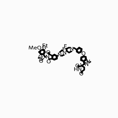 CCOc1cc([C@@H](CS(C)(=O)=O)N2C(=O)c3ccc(N4CCN([C@@H]5CCN(Cc6ccc(Oc7ccc8c([C@]9(C)CCC(=O)NC9=O)nn(C)c8c7)cc6)CC5(F)F)CC4)cc3C2=O)ccc1OC